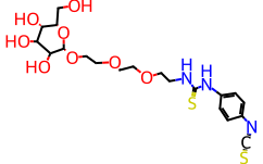 OCC1O[C@H](OCCOCCOCCNC(=S)Nc2ccc(N=C=S)cc2)C(O)C(O)[C@@H]1O